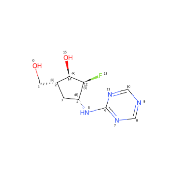 OC[C@H]1C[C@@H](Nc2ncncn2)[C@H](F)[C@@H]1O